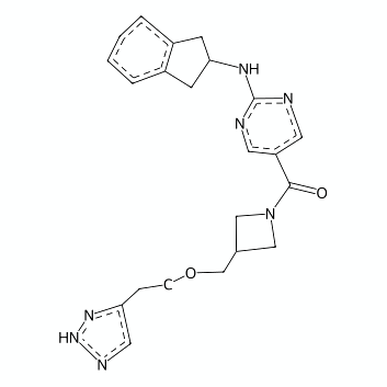 O=C(c1cnc(NC2Cc3ccccc3C2)nc1)N1CC(COCCc2cn[nH]n2)C1